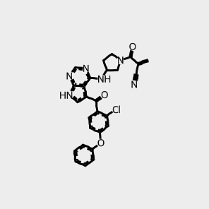 C=C(C#N)C(=O)N1CCC(Nc2ncnc3[nH]cc(C(=O)c4ccc(Oc5ccccc5)cc4Cl)c23)C1